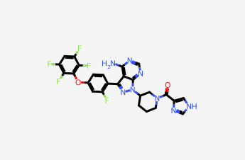 Nc1ncnc2c1c(-c1ccc(Oc3c(F)c(F)cc(F)c3F)cc1F)nn2C1CCCN(C(=O)c2c[nH]cn2)C1